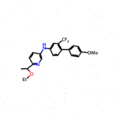 CCOC(C)c1ccc(Nc2ccc(-c3ccc(OC)cc3)c(C(F)(F)F)c2)cn1